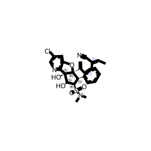 C=C(/C=C\C(C#N)=C/C)[C@@]12Oc3cc(Cl)cnc3[C@]1(O)[C@H](O)[C@H](S(=O)(=O)N(C)C)[C@H]2c1ccccc1